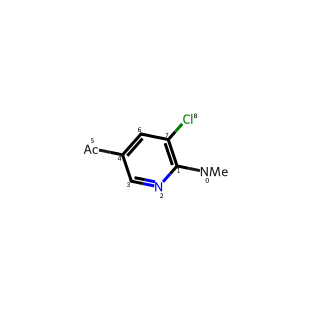 CNc1ncc(C(C)=O)cc1Cl